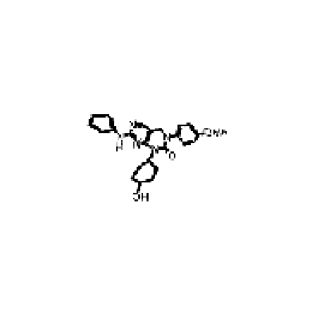 COc1ccc(N2Cc3cnc(Nc4ccccc4)nc3N(C3CCC(O)CC3)C2=O)cc1